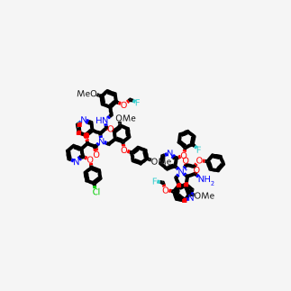 COc1ccc(OCF)c(C[N+](C(=O)COc2ccccc2)(c2cccnc2Oc2ccccc2F)C(C(N)=O)c2cccnc2)c1.COc1ccc(Oc2ccc(OC)cc2CN(C(=O)C(OCF)c2cccnc2Oc2ccc(Cl)cc2)C(C(=O)NCc2cc(OC)ccc2OCF)c2cccnc2)cc1